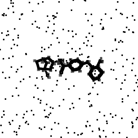 CC(=O)c1ccccc1Sc1ccc(C(=O)N[C@@H]2C[C@H]3CCN(C3)C2)cc1